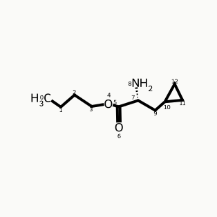 CCCCOC(=O)[C@H](N)CC1CC1